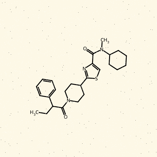 CCC(C(=O)N1CCC(c2nc(C(=O)N(C)C3CCCCC3)cs2)CC1)c1ccccc1